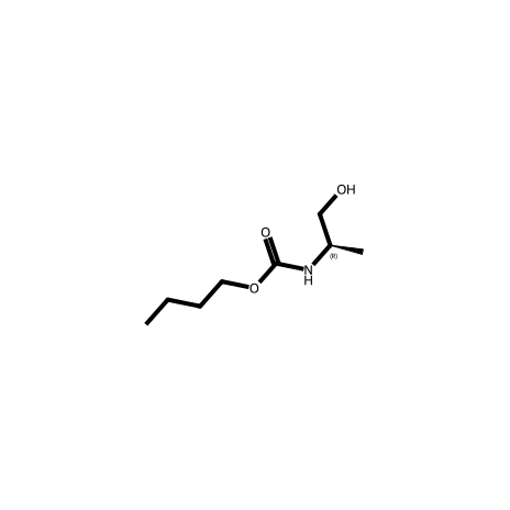 CCCCOC(=O)N[C@H](C)CO